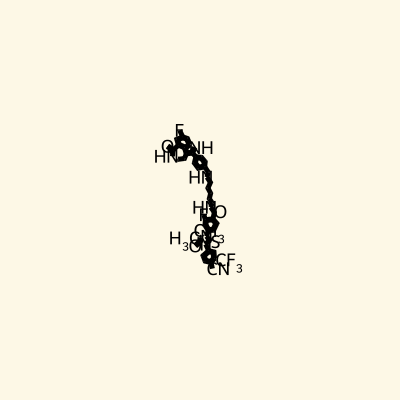 CC1(C)C(=O)N(c2ccc(C#N)c(C(F)(F)F)c2)C(=S)N1c1ccc(C(=O)NCCCCCNCc2ccc(-c3[nH]c4cc(F)cc5c4c3CCNC5=O)cc2)c(F)c1